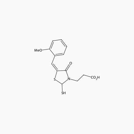 COc1ccccc1/C=C1/SC(S)N(CCC(=O)O)C1=O